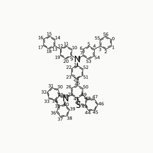 c1ccc(-c2ccc(N(c3ccc(-c4ccccc4)cc3)c3ccc(-c4cc(-n5c6ccccc6c6ccccc65)c5sc6ccccc6c5c4)cc3)cc2)cc1